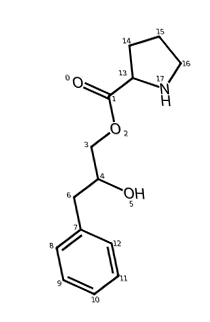 O=C(OCC(O)Cc1ccccc1)C1CCCN1